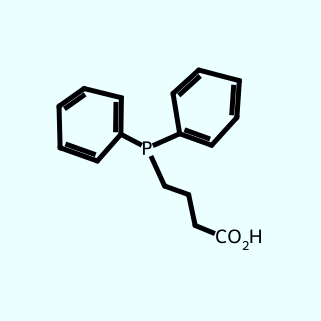 O=C(O)CCCP(c1ccccc1)c1ccccc1